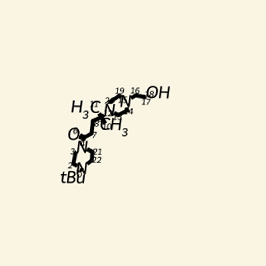 CC(C)(C)N1CCN(C(=O)CCC(C)(C)N2CCN(CCO)CC2)CC1